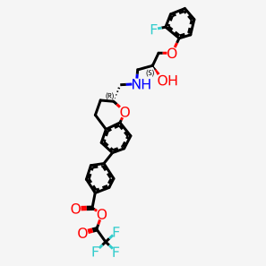 O=C(OC(=O)C(F)(F)F)c1ccc(-c2ccc3c(c2)CC[C@H](CNC[C@H](O)COc2ccccc2F)O3)cc1